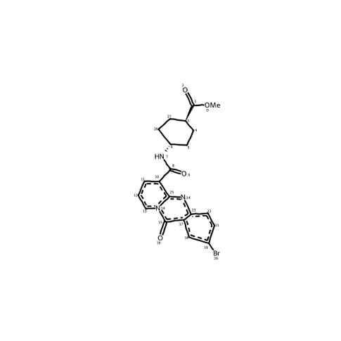 COC(=O)[C@H]1CC[C@H](NC(=O)c2cccn3c(=O)c4cc(Br)ccc4nc23)CC1